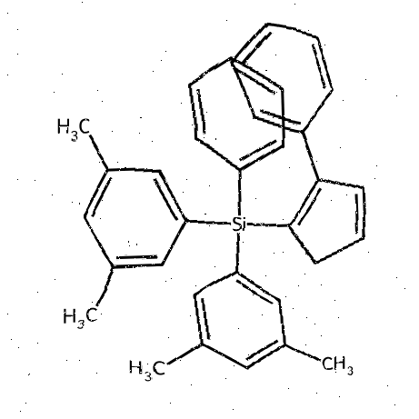 Cc1cc(C)cc([Si](C2=C(c3ccccc3)C=CC2)(c2ccccc2)c2cc(C)cc(C)c2)c1